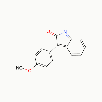 N#COc1ccc(C2=c3ccccc3=NC2=O)cc1